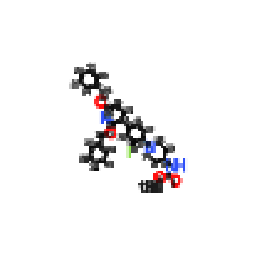 CC(C)(C)OC(=O)NC1CCN(c2ccc(-c3ccc(OCc4ccccc4)nc3OCc3ccccc3)cc2F)CC1